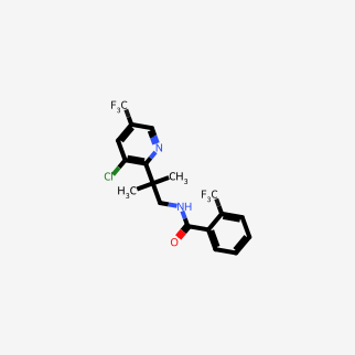 CC(C)(CNC(=O)c1ccccc1C(F)(F)F)c1ncc(C(F)(F)F)cc1Cl